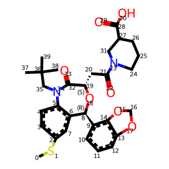 CSc1ccc2c(c1)[C@H](c1cccc3c1OCO3)O[C@@H](CC(=O)N1CCCC(C(=O)O)C1)C(=O)N2CC(C)(C)C